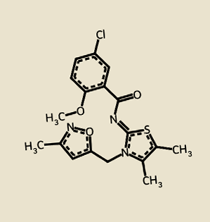 COc1ccc(Cl)cc1C(=O)/N=c1\sc(C)c(C)n1Cc1cc(C)no1